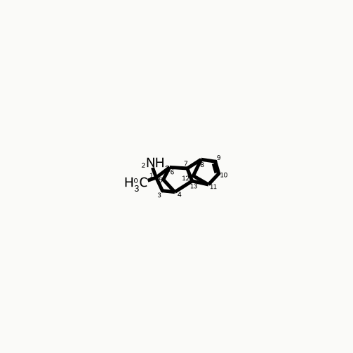 CC1(N)CC2CC1C1C3C=CC(C3)C21